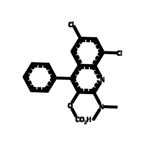 CN(C)c1nc2c(Cl)cc(Cl)cc2c(-c2ccccc2)c1OC(=O)O